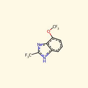 FC(F)(F)Oc1cccc2[nH]c(C(F)(F)F)nc12